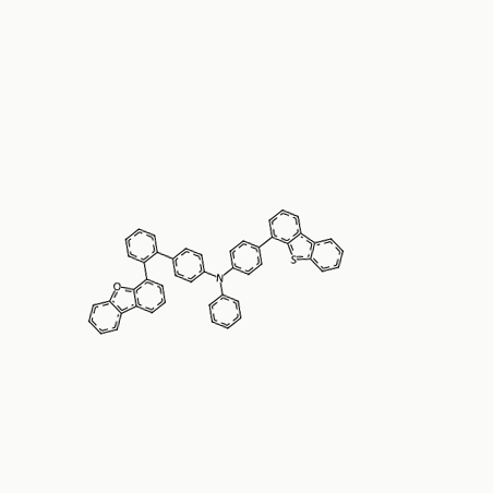 c1ccc(N(c2ccc(-c3ccccc3-c3cccc4c3oc3ccccc34)cc2)c2ccc(-c3cccc4c3sc3ccccc34)cc2)cc1